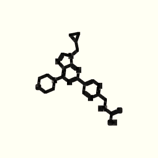 O=C(O)NCc1ncc(-c2nc(N3CCOCC3)c3ncn(CC4CC4)c3n2)cn1